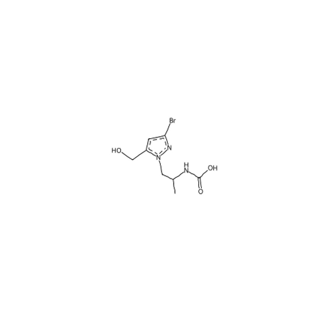 CC(Cn1nc(Br)cc1CO)NC(=O)O